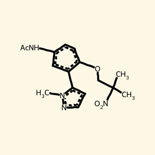 CC(=O)Nc1ccc(OCC(C)(C)[N+](=O)[O-])c(-c2ccnn2C)c1